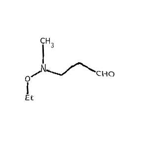 CCON(C)CCC=O